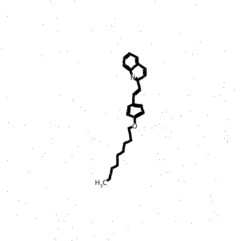 CCCCCCCCCOc1ccc(C=Cc2ccc3ccccc3n2)cc1